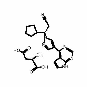 N#CC[C@H](C1CCCC1)n1cc(-c2ncnc3[nH]ccc23)cn1.O=C(O)CC(O)C(=O)O